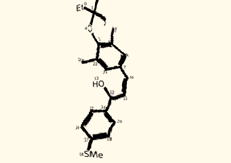 CCC(C)(C)Oc1c(C)cc(/C=C\C(O)c2ccc(SC)cc2)cc1C